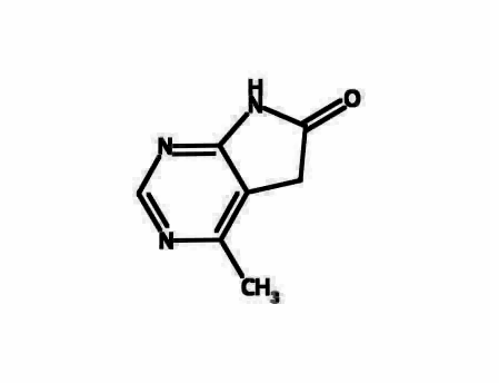 Cc1ncnc2c1CC(=O)N2